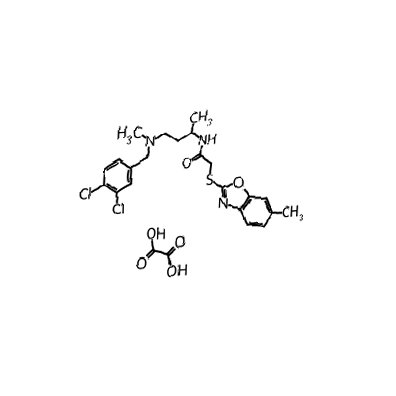 Cc1ccc2nc(SCC(=O)NC(C)CCN(C)Cc3ccc(Cl)c(Cl)c3)oc2c1.O=C(O)C(=O)O